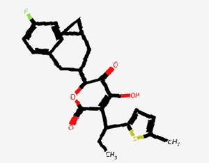 CCC(C1=C(O)C(=O)C(C(Cc2ccc(F)cc2)CC2CC2)OC1=O)c1ccc(C)s1